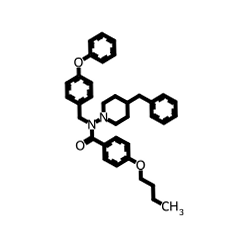 CCCCOc1ccc(C(=O)N(Cc2ccc(Oc3ccccc3)cc2)N2CCC(Cc3ccccc3)CC2)cc1